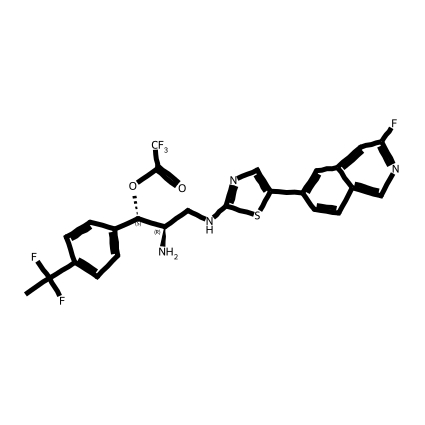 CC(F)(F)c1ccc([C@H](OC(=O)C(F)(F)F)[C@H](N)CNc2ncc(-c3ccc4cnc(F)cc4c3)s2)cc1